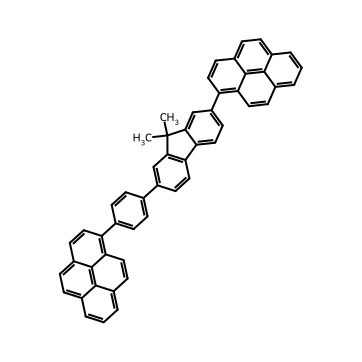 CC1(C)c2cc(-c3ccc(-c4ccc5ccc6cccc7ccc4c5c67)cc3)ccc2-c2ccc(-c3ccc4ccc5cccc6ccc3c4c56)cc21